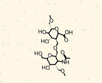 COC[C@@H]1OC(C(=O)O)[C@@H](COC[C@@H]2OC(CO)[C@H](O)[C@@H](COC)C2NC(C)=O)[C@H](O)C1O